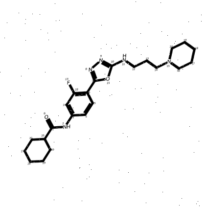 O=C(Nc1ccc(-c2nnc(NCCCN3CCCCC3)o2)c(F)c1)C1CCCCC1